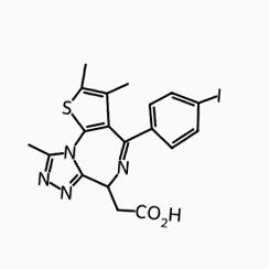 Cc1sc2c(c1C)C(c1ccc(I)cc1)=NC(CC(=O)O)c1nnc(C)n1-2